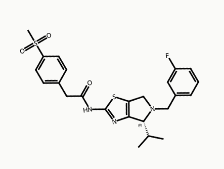 CC(C)[C@@H]1c2nc(NC(=O)Cc3ccc(S(C)(=O)=O)cc3)sc2CN1Cc1cccc(F)c1